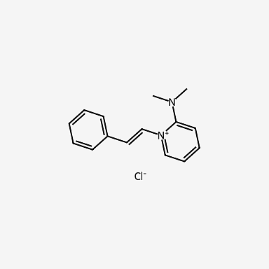 CN(C)c1cccc[n+]1C=Cc1ccccc1.[Cl-]